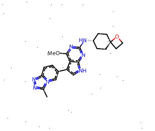 COc1nc(N[C@H]2CC[C@@]3(CCO3)CC2)nc2[nH]cc(-c3ccc4nnc(C)n4c3)c12